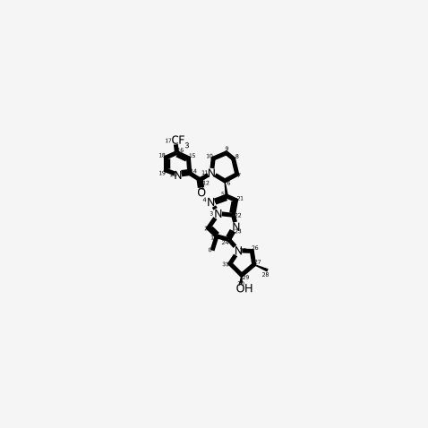 Cc1cn2nc([C@@H]3CCCCN3C(=O)c3cc(C(F)(F)F)ccn3)cc2nc1N1C[C@@H](C)[C@@H](O)C1